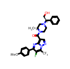 COc1ccc(-c2nc3c(C(=O)N4CCN([C@@H](CO)c5ccccc5)C[C@H]4C)cnn3c(C(F)(F)F)c2F)cc1